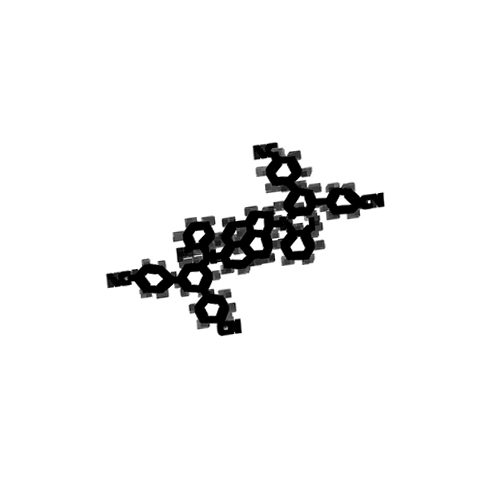 N#Cc1ccc(-c2cc(-c3ccc(C#N)cc3)cc(N(c3ccccc3F)c3ccc4ccc5c(N(c6cc(-c7ccc(C#N)cc7)cc(-c7ccc(C#N)cc7)c6)c6ccccc6F)ccc6ccc3c4c65)c2)cc1